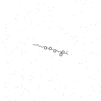 CCCCCCCCOCCOCCOCCCC(=O)OCC(C)C